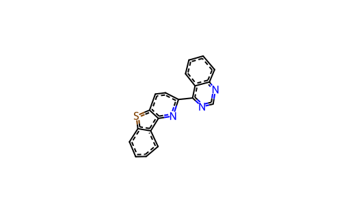 c1ccc2c(-c3ccc4sc5ccccc5c4n3)ncnc2c1